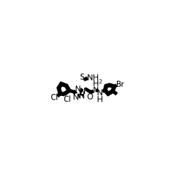 Cc1cc(NNC(=O)Cn2nnc(-c3cccc(Cl)c3Cl)n2)ccc1Br.NC=S